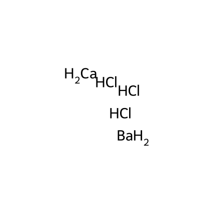 Cl.Cl.Cl.[BaH2].[CaH2]